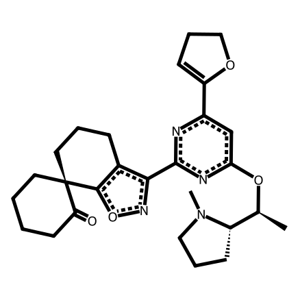 C[C@H](Oc1cc(C2=CCCO2)nc(-c2noc3c2CCC[C@@]32CCCCC2=O)n1)[C@@H]1CCCN1C